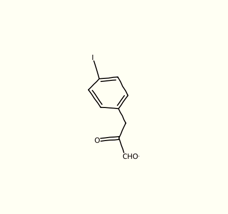 O=[C]C(=O)Cc1ccc(I)cc1